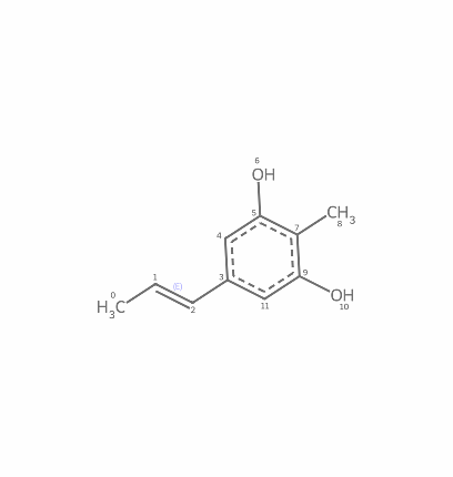 C/C=C/c1cc(O)c(C)c(O)c1